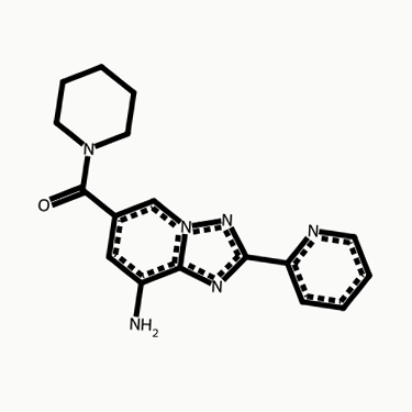 Nc1cc(C(=O)N2CCCCC2)cn2nc(-c3ccccn3)nc12